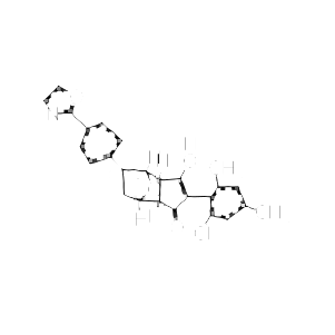 Cc1cc(C)c(C2=C(O)[C@@H]3[C@@H]4O[C@@H](C[C@H]4c4ccc(-c5ncco5)cc4)[C@@H]3C2=O)c(C)c1